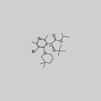 Cc1nc(C)c([C@H](OC(C)(C)C)C(=O)OC(C)C)c(N2CCCC(C)(C)C2)c1Br